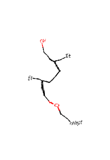 CCCCCCCCOCC(CC)CC(CC)CO